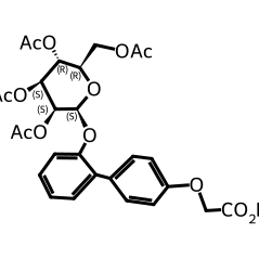 CC(=O)OC[C@H]1O[C@@H](Oc2ccccc2-c2ccc(OCC(=O)O)cc2)[C@@H](OC(C)=O)[C@@H](OC(C)=O)[C@@H]1OC(C)=O